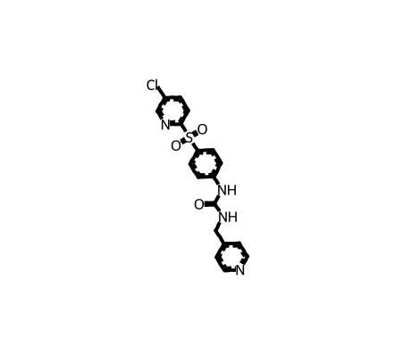 O=C(NCc1ccncc1)Nc1ccc(S(=O)(=O)c2ccc(Cl)cn2)cc1